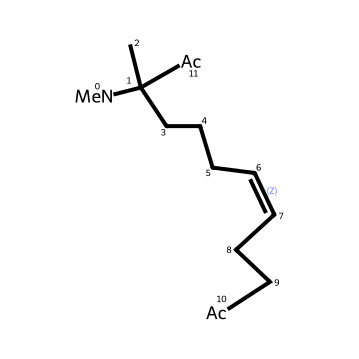 CNC(C)(CCC/C=C\CCC(C)=O)C(C)=O